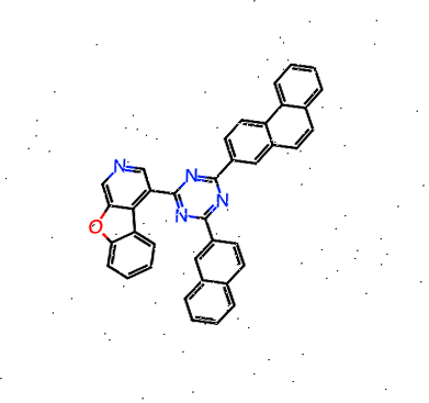 c1ccc2cc(-c3nc(-c4ccc5c(ccc6ccccc65)c4)nc(-c4cncc5oc6ccccc6c45)n3)ccc2c1